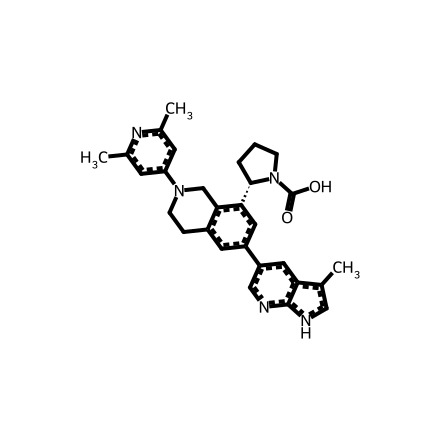 Cc1cc(N2CCc3cc(-c4cnc5[nH]cc(C)c5c4)cc([C@@H]4CCCN4C(=O)O)c3C2)cc(C)n1